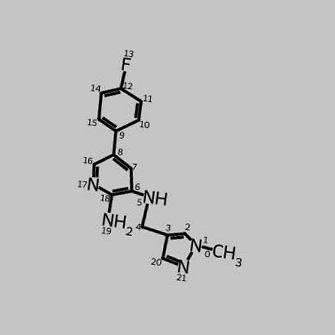 Cn1cc(CNc2cc(-c3ccc(F)cc3)cnc2N)cn1